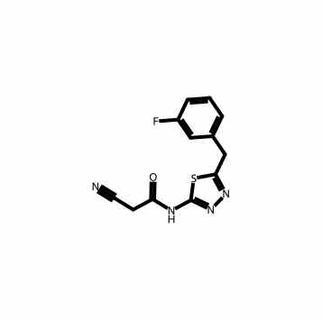 N#CCC(=O)Nc1nnc(Cc2cccc(F)c2)s1